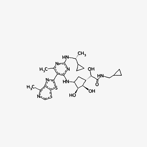 Cc1nc(N[C@H](C)C2CC2)nc(NC2C[C@H](C(O)C(=O)NCC3CC3)[C@@H](O)[C@H]2O)c1-c1nc2c(C)nccc2s1